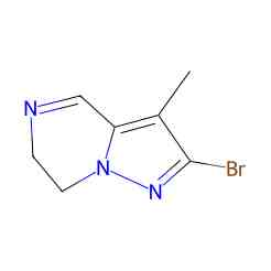 Cc1c(Br)nn2c1C=NCC2